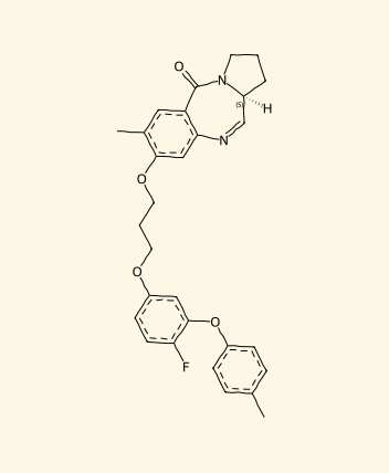 Cc1ccc(Oc2cc(OCCCOc3cc4c(cc3C)C(=O)N3CCC[C@H]3C=N4)ccc2F)cc1